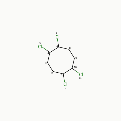 ClC1CCC(Cl)C(Cl)CCC1Cl